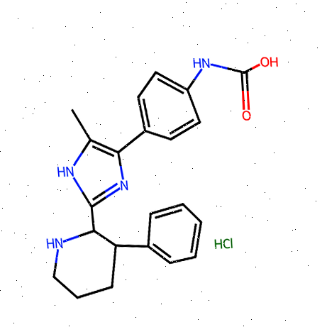 Cc1[nH]c(C2NCCCC2c2ccccc2)nc1-c1ccc(NC(=O)O)cc1.Cl